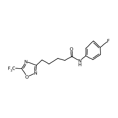 O=C(CCCCc1noc(C(F)(F)F)n1)Nc1ccc(F)cc1